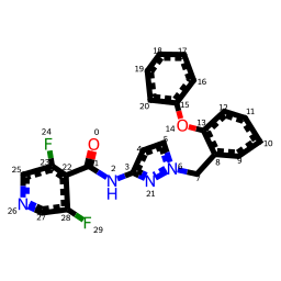 O=C(Nc1ccn(Cc2ccccc2Oc2ccccc2)n1)c1c(F)cncc1F